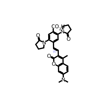 Cc1c(/C=C/c2cc(N3CCCC3=O)c(C(=O)O)cc2N2CCCC2=O)c(=O)oc2cc(N(C)C)ccc12